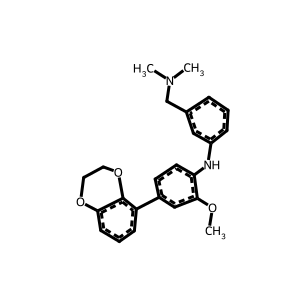 COc1cc(-c2cccc3c2OCCO3)ccc1Nc1cccc(CN(C)C)c1